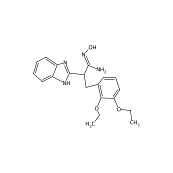 CCOc1cccc(CC(C(N)=NO)c2nc3ccccc3[nH]2)c1OCC